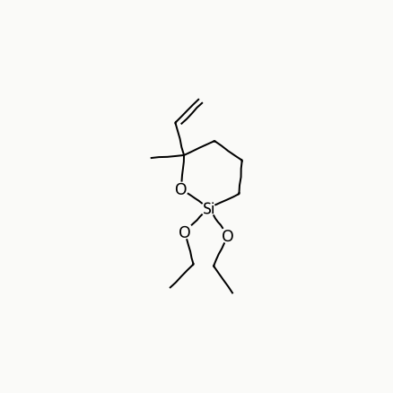 C=CC1(C)CCC[Si](OCC)(OCC)O1